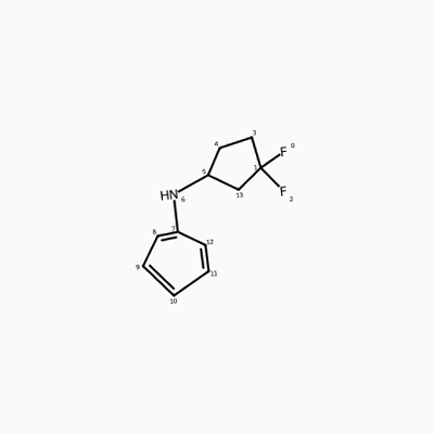 FC1(F)CCC(Nc2ccccc2)C1